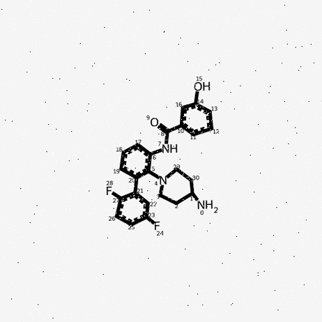 NC1CCN(c2c(NC(=O)c3cccc(O)c3)cccc2-c2cc(F)ccc2F)CC1